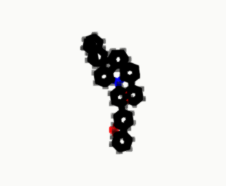 c1ccc(-c2ccccc2N(c2ccc(-c3ccc4c(c3)oc3ccccc34)cc2)c2cccc3c2-c2ccccc2C32CC3CCC4CC3CC2C4)cc1